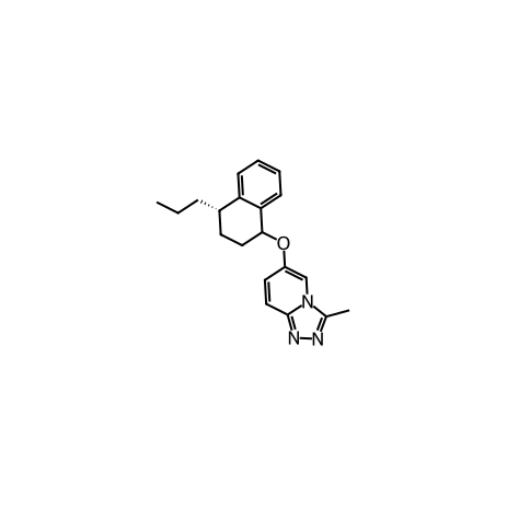 CCC[C@H]1CCC(Oc2ccc3nnc(C)n3c2)c2ccccc21